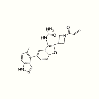 C=CC(=O)N1CC(C2=C(NC(N)=O)C3C=C(c4c(C)ccc5[nH]ncc45)C=CC3O2)C1